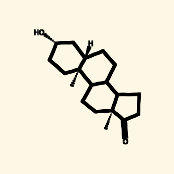 C[C@]12CCC3C(CC[C@H]4C[C@@H](O)CC[C@]34C)C1CCC2=O